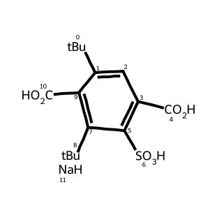 CC(C)(C)c1cc(C(=O)O)c(S(=O)(=O)O)c(C(C)(C)C)c1C(=O)O.[NaH]